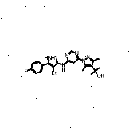 CCc1c(Nc2cc(-n3nc(C)c(C(C)(C)O)c3C)ncn2)n[nH]c1-c1ccc(F)cc1